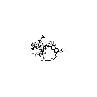 COc1cc2ccc3cc2cc1CCCCCCCC(=O)N[C@@H](C(C)(C)C)C(=O)N1C[C@@]3(OC)C[C@H]1C(=O)N[C@]1(C(=O)NS(=O)(=O)C2CC2)C[C@H]1C1CC1